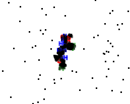 CCOc1nonc1C(=O)N[C@H](c1cn2ncc(C(NC(=O)CC3CC(F)(F)C3)C3CC3)cc2n1)C1CCC(F)(F)CC1